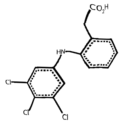 O=C(O)Cc1ccccc1Nc1cc(Cl)c(Cl)c(Cl)c1